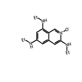 CCNc1cc(NCC)c2c[n+]([O-])c(NCC)cc2c1